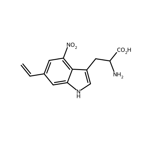 C=Cc1cc([N+](=O)[O-])c2c(CC(N)C(=O)O)c[nH]c2c1